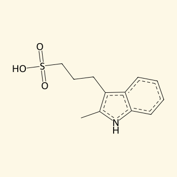 Cc1[nH]c2ccccc2c1CCCS(=O)(=O)O